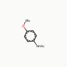 [CH2]C(=O)Nc1ccc(OC(C)(C)C)cc1